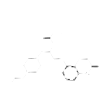 CC(=O)OC(COc1cccc2c1CCC(=O)N2)CN1CCN(CCO)CC1